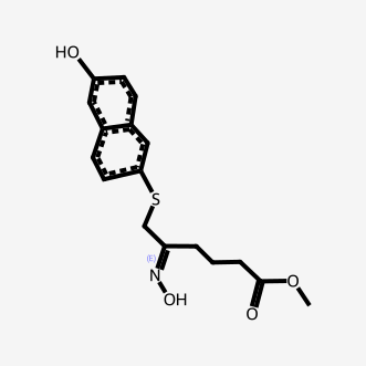 COC(=O)CCC/C(CSc1ccc2cc(O)ccc2c1)=N\O